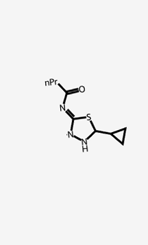 CCCC(=O)N=C1[N]NC(C2CC2)S1